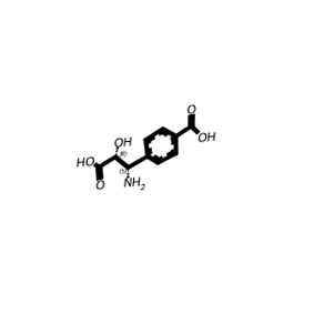 N[C@@H](c1ccc(C(=O)O)cc1)[C@@H](O)C(=O)O